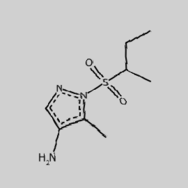 CCC(C)S(=O)(=O)n1ncc(N)c1C